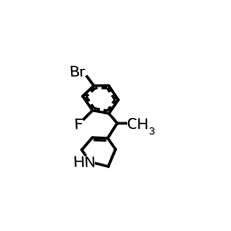 CC(C1=CCNCC1)c1ccc(Br)cc1F